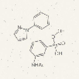 CC(=O)Nc1cccc([As](=O)(O)OO)c1.c1ccc(-n2cccn2)cc1